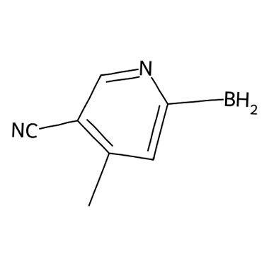 Bc1cc(C)c(C#N)cn1